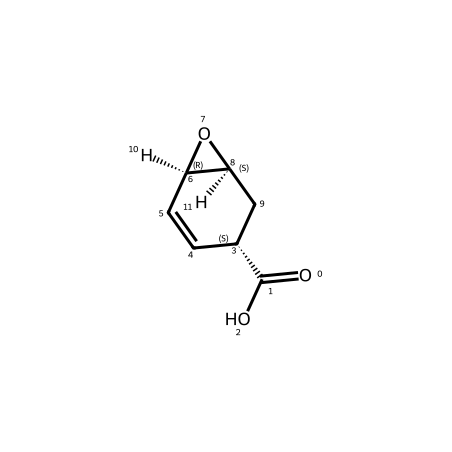 O=C(O)[C@@H]1C=C[C@H]2O[C@H]2C1